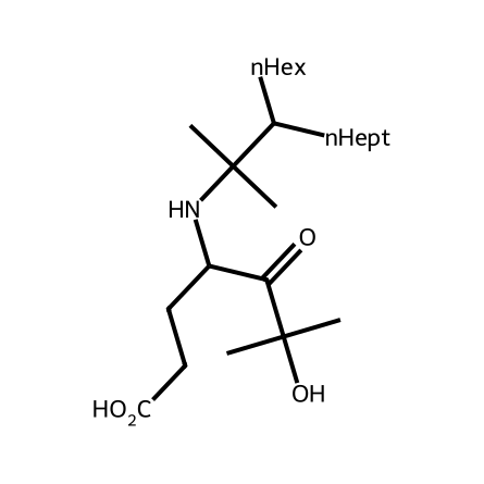 CCCCCCCC(CCCCCC)C(C)(C)NC(CCC(=O)O)C(=O)C(C)(C)O